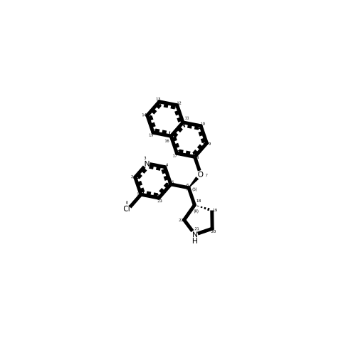 Clc1cncc([C@@H](Oc2ccc3ccccc3c2)[C@@H]2CCNC2)c1